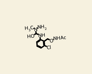 CC(=O)NOCc1c(Cl)cccc1NC(O)N(C)N